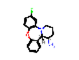 N[C@@H]1CCCN2c3cc(Cl)ccc3Oc3ccccc3[C@@H]12